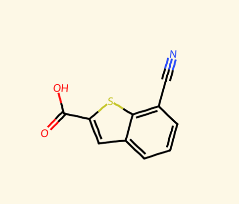 N#Cc1cccc2cc(C(=O)O)sc12